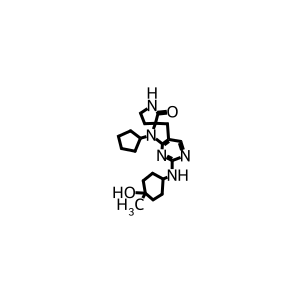 CC1(O)CCC(Nc2ncc3c(n2)N(C2CCCC2)C2(CCNC2=O)C3)CC1